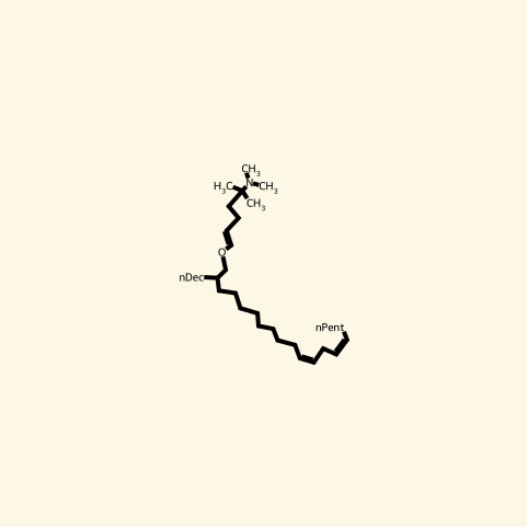 CCCCC/C=C\C/C=C\CCCCCCCCC(CCCCCCCCCC)CO/C=C/CCC(C)(C)N(C)C